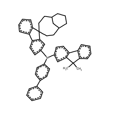 CC1(C)c2ccccc2-c2ccc(N(c3ccc(-c4ccccc4)cc3)c3ccc4c(c3)C3(CCC5CCCC(CC3)C5)c3ccccc3-4)cc21